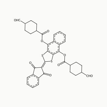 O=CC1CCC(C(=O)Oc2c3c(c(OC(=O)C4CCC(C=O)CC4)c4ccccc24)SC(=C2C(=O)c4ccccc4C2=O)S3)CC1